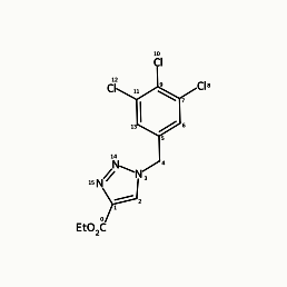 CCOC(=O)c1cn(Cc2cc(Cl)c(Cl)c(Cl)c2)nn1